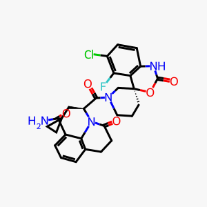 NC(=O)c1cccc2c1N([C@@H](CC1CC1)C(=O)N1CCC[C@@]3(C1)OC(=O)Nc1ccc(Cl)c(F)c13)C(=O)CC2